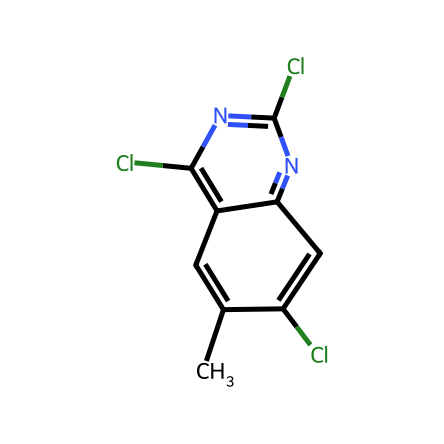 Cc1cc2c(Cl)nc(Cl)nc2cc1Cl